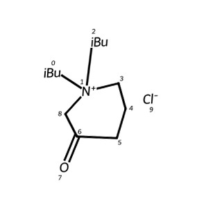 CCC(C)[N+]1(C(C)CC)CCCC(=O)C1.[Cl-]